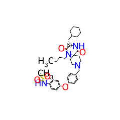 CCCCN1C(=O)[C@H](CC2CCCCC2)NC(=O)C12CCN(Cc1ccc(Oc3ccc(NS(C)(=O)=O)cc3)cc1)CC2